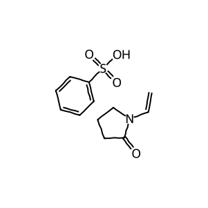 C=CN1CCCC1=O.O=S(=O)(O)c1ccccc1